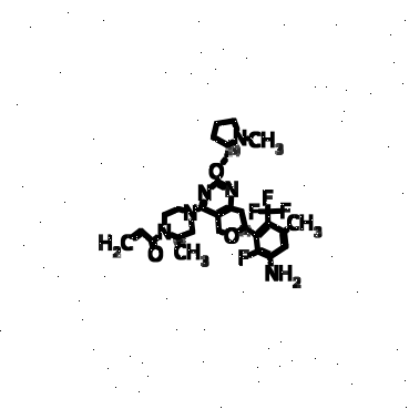 C=CC(=O)N1CCN(c2nc(OC[C@@H]3CCCN3C)nc3c2CO[C@H](c2c(F)c(N)cc(C)c2C(F)(F)F)C3)C[C@@H]1C